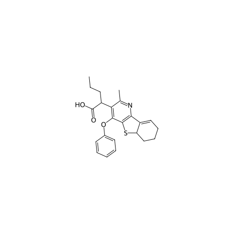 CCCC(C(=O)O)c1c(C)nc2c(c1Oc1ccccc1)SC1CCCC=C21